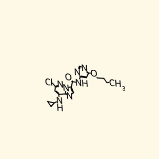 CCCCOc1cc(NC(=O)c2cnc3c(NC4CC4)cc(Cl)nn23)ncn1